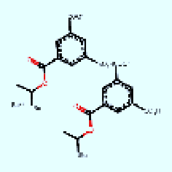 CC(OC(=O)c1cc(C(=O)[O-])cc(S(=O)(=O)O)c1)C(C)(C)C.CC(OC(=O)c1cc(C(=O)[O-])cc(S(=O)(=O)O)c1)C(C)(C)C.[Ba+2]